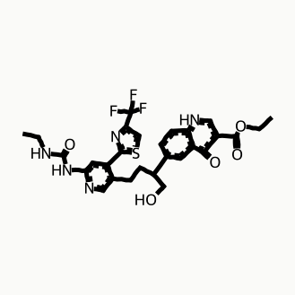 CCNC(=O)Nc1cc(-c2nc(C(F)(F)F)cs2)c(CCC(CO)c2ccc3[nH]cc(C(=O)OCC)c(=O)c3c2)cn1